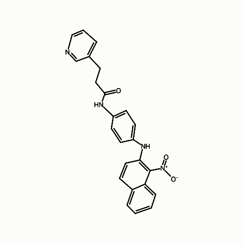 O=C(CCc1cccnc1)Nc1ccc(Nc2ccc3ccccc3c2[N+](=O)[O-])cc1